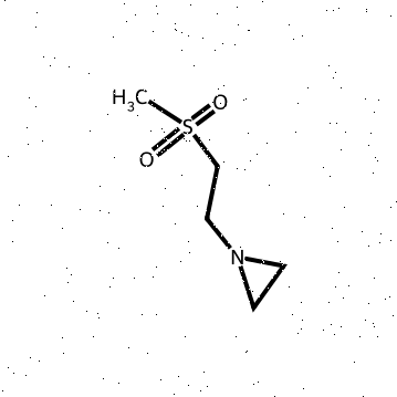 CS(=O)(=O)CCN1CC1